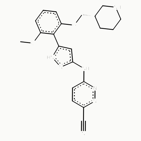 COc1cccc(OC[C@H]2CCCNC2)c1-c1cc(Nc2ccc(C#N)nn2)n[nH]1